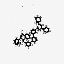 C=C(/C=C(\C=C(/C)c1cccc(-c2cccc(-c3cccc(-c4nc(-c5ccccc5)cc(-c5ccccc5)n4)c3)c2)c1)c1ccccc1)c1ccccc1